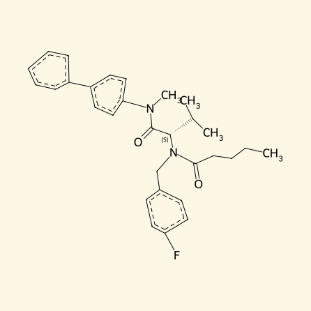 CCCCC(=O)N(Cc1ccc(F)cc1)[C@H](C(=O)N(C)c1ccc(-c2ccccc2)cc1)C(C)C